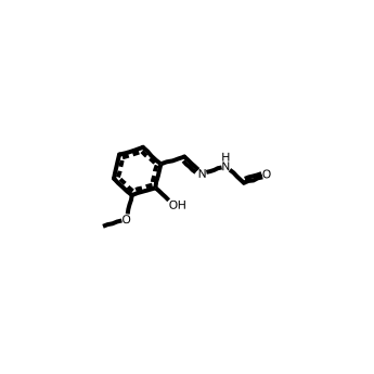 COc1cccc(C=NNC=O)c1O